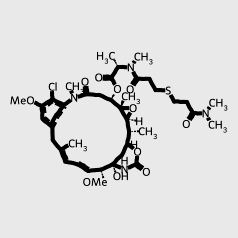 COc1cc2cc(c1Cl)N(C)C(=O)C[C@H](OC(=O)[C@H](C)N(C)C(=O)CCSCCC(=O)N(C)C)[C@]1(C)O[C@H]1[C@H](C)[C@@H]1C[C@@](O)(NC(=O)O1)[C@H](OC)/C=C/C=C(\C)C2